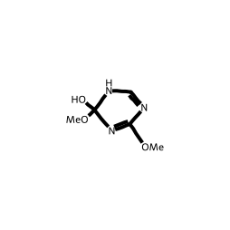 COC1=NC(O)(OC)NC=N1